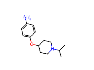 CC(C)N1CCC(Oc2ccc(N)cc2)CC1